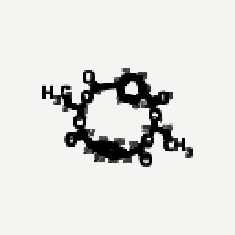 CCC1OC(=O)c2ccc(cc2)C(=O)OC(CC)OC(=O)c2ccc(cc2)C(=O)O1